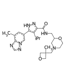 Cc1cc(-c2[nH]nc(C(=O)NCC3CN(CC4(C)COC4)CCO3)c2C(C)C)cn2ncnc12